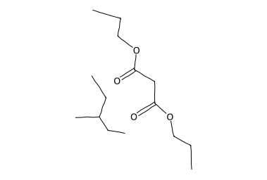 CCC(C)CC.CCCOC(=O)CC(=O)OCCC